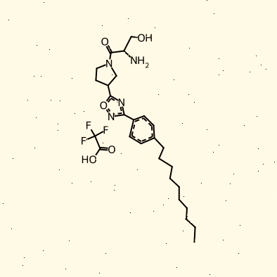 CCCCCCCCCCc1ccc(-c2noc(C3CCN(C(=O)C(N)CO)C3)n2)cc1.O=C(O)C(F)(F)F